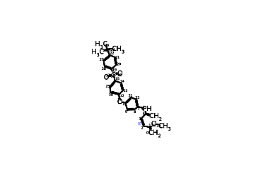 C=C(/C=C\C(=C)Pc1ccc(Oc2ccc(S(=O)(=O)c3ccc(C(C)(C)C)cc3)cc2)cc1)OC